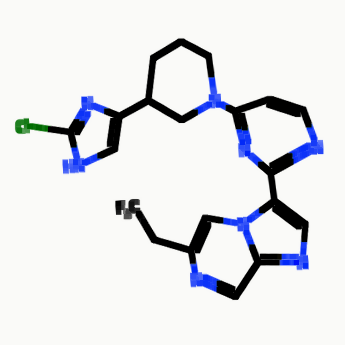 FC(F)(F)Cc1cn2c(-c3nccc(N4CCCC(c5c[nH]c(Cl)n5)C4)n3)cnc2cn1